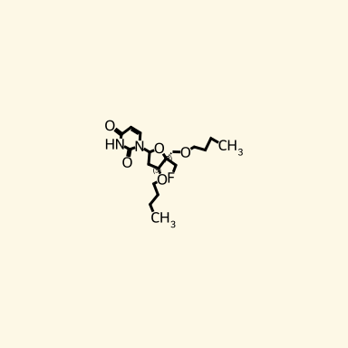 CCCCOC[C@@]1(CF)OC(n2ccc(=O)[nH]c2=O)C[C@@H]1OCCCC